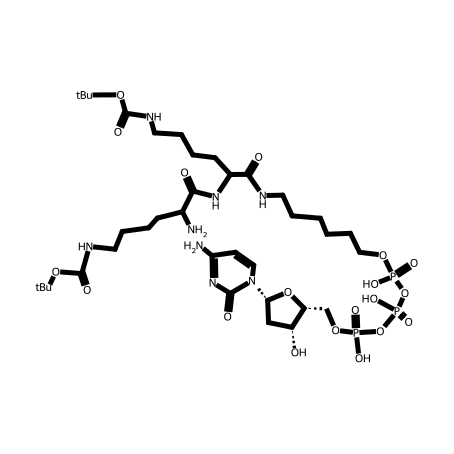 CC(C)(C)OC(=O)NCCCCC(N)C(=O)NC(CCCCNC(=O)OC(C)(C)C)C(=O)NCCCCCCOP(=O)(O)OP(=O)(O)OP(=O)(O)OC[C@H]1O[C@@H](n2ccc(N)nc2=O)C[C@H]1O